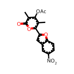 CC(=O)Oc1c(C)c(-c2cc3cc([N+](=O)[O-])ccc3o2)oc(=O)c1C